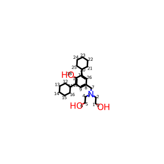 OCCN(CCO)Cc1cc(C2CCCCC2)c(O)c(C2CCCCC2)c1